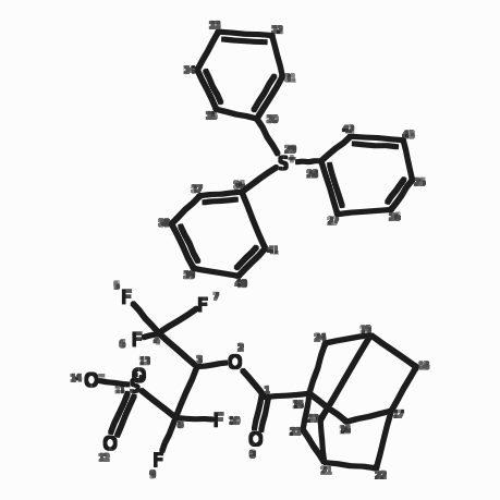 O=C(OC(C(F)(F)F)C(F)(F)S(=O)(=O)[O-])C12CC3CC(CC(C3)C1)C2.c1ccc([S+](c2ccccc2)c2ccccc2)cc1